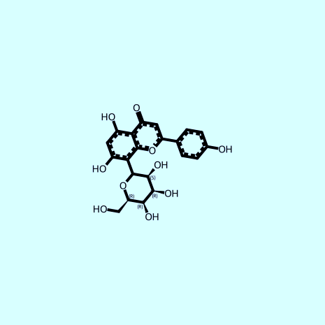 O=c1cc(-c2ccc(O)cc2)oc2c(C3O[C@H](CO)[C@H](O)[C@H](O)[C@@H]3O)c(O)cc(O)c12